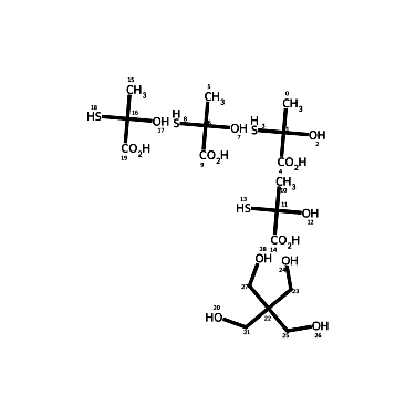 CC(O)(S)C(=O)O.CC(O)(S)C(=O)O.CC(O)(S)C(=O)O.CC(O)(S)C(=O)O.OCC(CO)(CO)CO